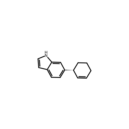 C1=C[C@H](c2ccc3cc[nH]c3c2)CCC1